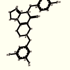 O=C1C2=C(CCN(Cc3cc(F)cc(F)c3)C2)N2CCN=C2N1Cc1ccc(F)cc1